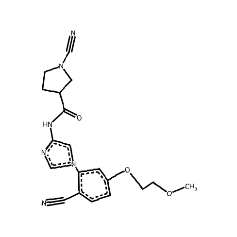 COCCOc1ccc(C#N)c(-n2cnc(NC(=O)C3CCN(C#N)C3)c2)c1